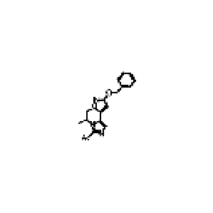 CC(=O)c1ncc2n1[C@@H](C)Cn1nc(OCc3ccccc3)cc1-2